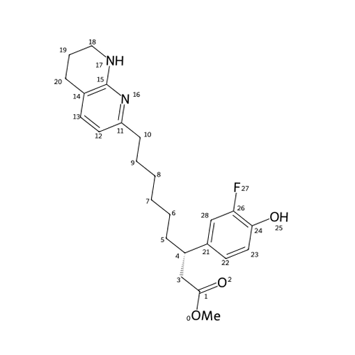 COC(=O)C[C@H](CCCCCCc1ccc2c(n1)NCCC2)c1ccc(O)c(F)c1